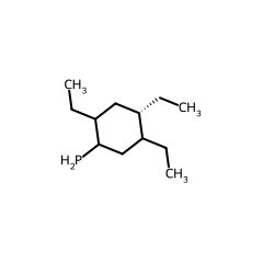 CCC1C[C@H](CC)C(CC)CC1P